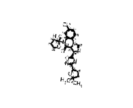 CC1(C)CCC(c2noc(C3N=CN4c5ccc(Cl)cc5N(C5(C)CCCO5)C(=O)C34)n2)O1